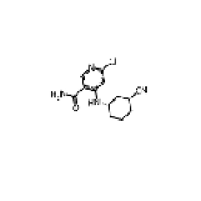 N#C[C@H]1CCC[C@H](Nc2cc(Cl)ncc2C(N)=O)C1